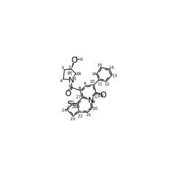 CO[C@@H]1CCN(C(=O)c2cc(-c3ccccc3)c(=O)n3ccc4ccsc4c23)C1